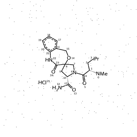 CN[C@@H](CC(C)C)C(=O)N1CC2(C[C@H]1C(N)=O)OCc1ccccc1NC2=O.Cl